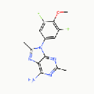 COc1c(F)cc(-n2c(C)nc3c(N)nc(C)nc32)cc1F